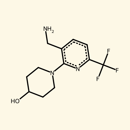 NCc1ccc(C(F)(F)F)nc1N1CCC(O)CC1